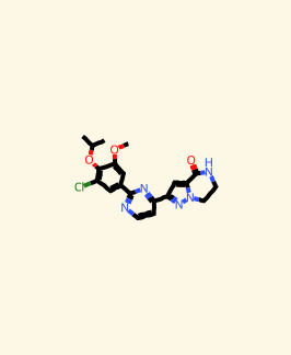 COc1cc(-c2nccc(-c3cc4n(n3)CCNC4=O)n2)cc(Cl)c1OC(C)C